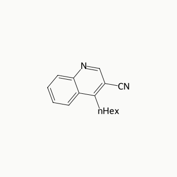 CCCCCCc1c(C#N)cnc2ccccc12